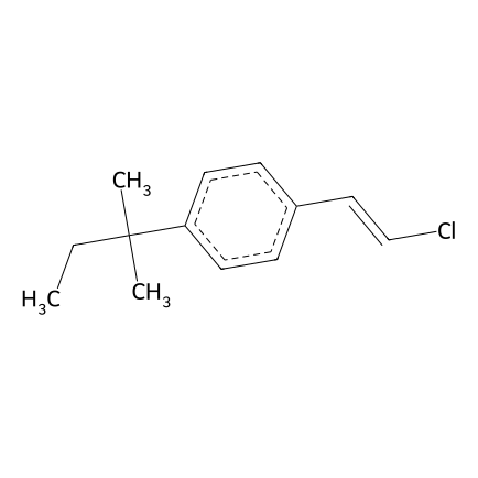 CCC(C)(C)c1ccc(/C=C/Cl)cc1